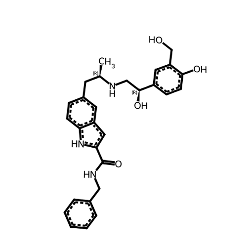 C[C@H](Cc1ccc2[nH]c(C(=O)NCc3ccccc3)cc2c1)NC[C@H](O)c1ccc(O)c(CO)c1